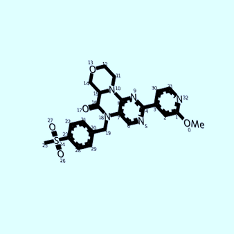 COc1cc(-c2ncc3c(n2)N2CCOCC2C(=O)N3Cc2ccc(S(C)(=O)=O)cc2)ccn1